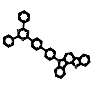 c1ccc(-c2nc(-c3ccccc3)nc(-c3ccc(-c4ccc(-n5c6ccccc6c6c7oc8ccccc8c7ccc65)cc4)cc3)n2)cc1